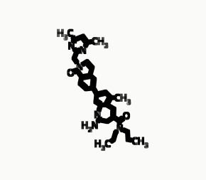 CCCN(CCC)C(=O)C1=Cc2c(C)cc(-c3ccc4c(=O)n(Cc5nc(C)cc(C)n5)ccc4c3)cc2N=C(N)C1